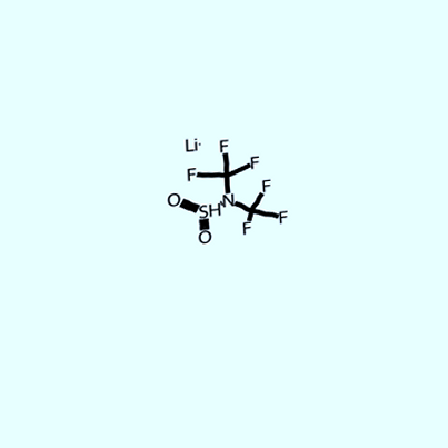 O=[SH](=O)N(C(F)(F)F)C(F)(F)F.[Li]